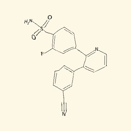 N#Cc1cccc(-c2cccnc2-c2ccc(S(N)(=O)=O)c(F)c2)c1